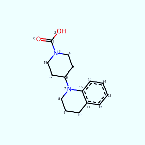 O=C(O)N1CCC(N2CCCc3ccccc32)CC1